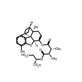 CC(=O)O[C@@H](C(=O)OC1=CC[C@]2(O)[C@H]3CCC[C@]24c2c(ccc(O)c2O[C@H]14)C3)[C@@H](OC(C)=O)C(=O)O[C@H](CC(=O)O)C(=O)O